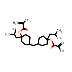 C=C(C)C(=O)OC1(CC(C)C)CCC(CC2CCC(CC(C)C)(OC(=O)C(=C)C)CC2)CC1